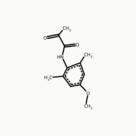 COc1cc(C)c(NC(=O)C(C)=O)c(C)c1